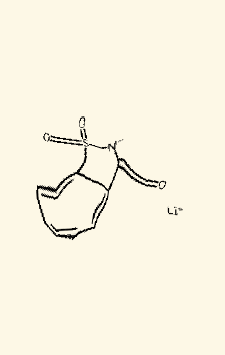 O=C1[N-]S(=O)(=O)c2ccccc21.[Li+]